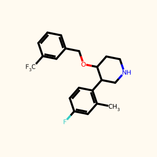 Cc1cc(F)ccc1C1CNCCC1OCc1cccc(C(F)(F)F)c1